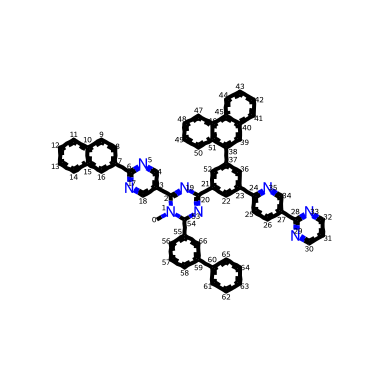 CN1C(c2cnc(-c3ccc4ccccc4c3)nc2)=NC(c2cc(-c3ccc(-c4ncccn4)cn3)cc(-c3cc4ccccc4c4ccccc34)c2)=NC1c1cccc(-c2ccccc2)c1